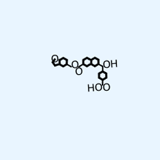 O=C(O)c1ccc(C(O)c2ccc3ccc(C(=O)OCc4ccc5occc5c4)cc3c2)cc1